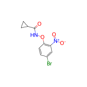 O=C(NOc1ccc(Br)cc1[N+](=O)[O-])C1CC1